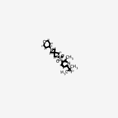 Cc1nc(C(C)(C)F)ccc1S(=O)(=O)N1CC2(CN(C3CCOCC3)C2)C1